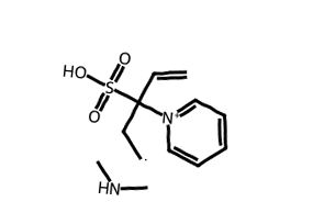 CNC.[CH2]CC(C=C)([n+]1ccccc1)S(=O)(=O)O